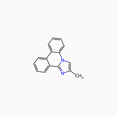 Cc1cn2c3ccccc3c3ccccc3c2n1